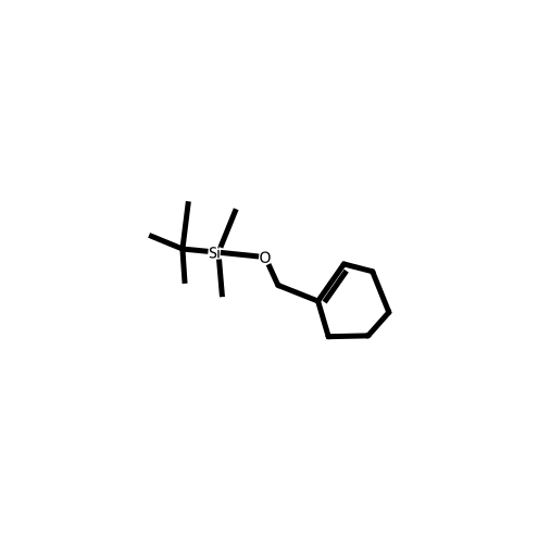 CC(C)(C)[Si](C)(C)OCC1=CCCCC1